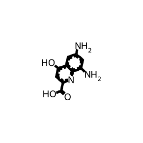 Nc1cc(N)c2nc(C(=O)O)cc(O)c2c1